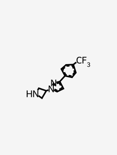 FC(F)(F)c1ccc(-c2ccn(C3CNC3)n2)cc1